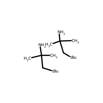 CC(C)(C)CC(C)(C)N.CC(C)(C)CC(C)(C)N